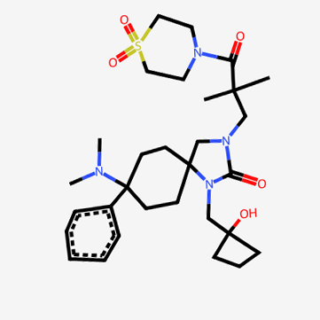 CN(C)C1(c2ccccc2)CCC2(CC1)CN(CC(C)(C)C(=O)N1CCS(=O)(=O)CC1)C(=O)N2CC1(O)CCC1